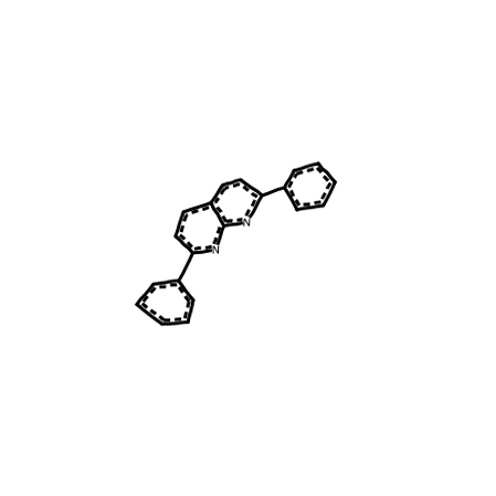 c1ccc(-c2ccc3ccc(-c4ccccc4)nc3n2)cc1